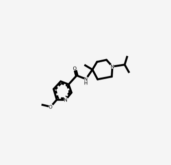 COc1ccc(C(=O)NC2(C)CCN(C(C)C)CC2)cn1